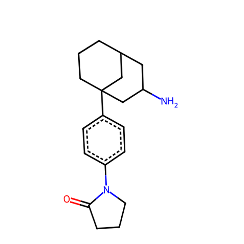 NC1CC2CCCC(c3ccc(N4CCCC4=O)cc3)(C1)C2